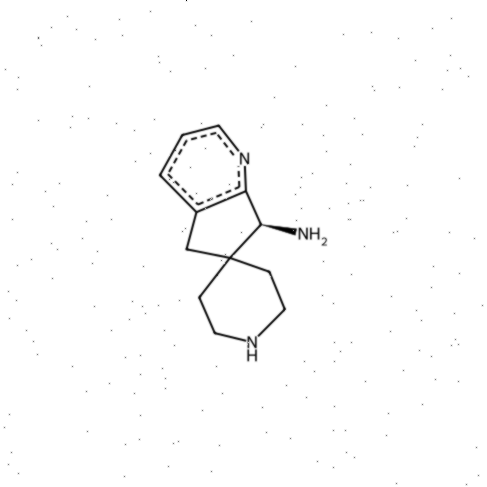 N[C@@H]1c2ncccc2CC12CCNCC2